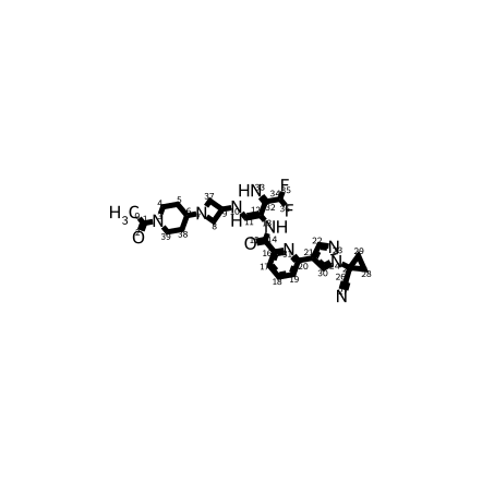 CC(=O)N1CCC(N2CC(N/C=C(/NC(=O)c3cccc(-c4cnn(C5(C#N)CC5)c4)n3)C(=N)C(F)F)C2)CC1